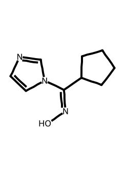 ON=C(C1CCCC1)n1ccnc1